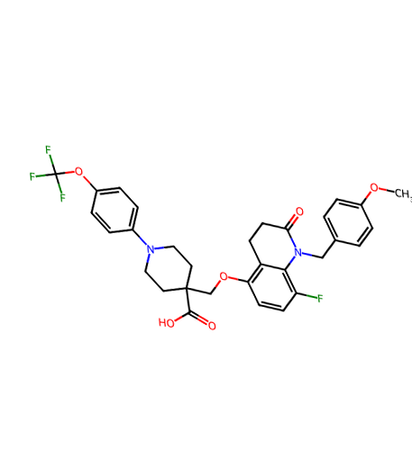 COc1ccc(CN2C(=O)CCc3c(OCC4(C(=O)O)CCN(c5ccc(OC(F)(F)F)cc5)CC4)ccc(F)c32)cc1